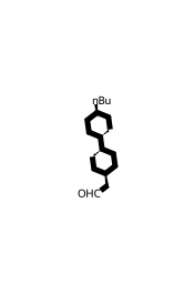 CCCC[C@H]1CC[C@H]([C@H]2CC[C@H](CC=O)CC2)CC1